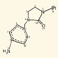 CC(C)N1CCN(c2ccc(N)cc2)C1=O